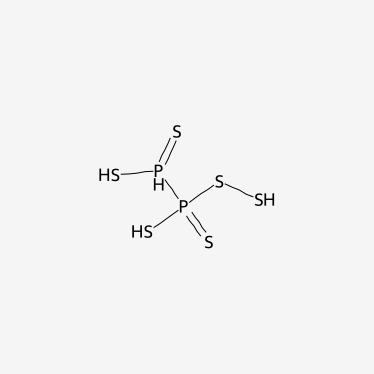 S=[PH](S)P(=S)(S)SS